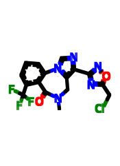 CN1Cc2c(-c3noc(CCl)n3)ncn2-c2cccc(C(F)(F)F)c2C1=O